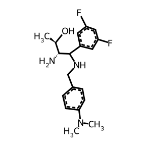 C[C@@H](O)[C@@H](N)C(NCc1ccc(N(C)C)cc1)c1cc(F)cc(F)c1